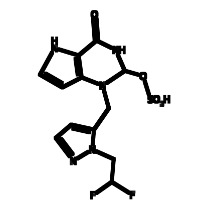 O=C1NC(OS(=O)(=O)O)N(Cc2ccnn2CC(F)F)c2cc[nH]c21